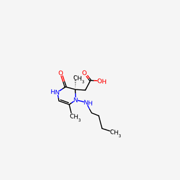 CCCCNN1C(C)=CNC(=O)[C@@]1(C)CC(=O)O